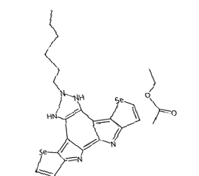 CCCCCCn1[nH]c2c([nH]1)c1c(nc3cc[se]c31)c1nc3cc[se]c3c12.CCOC(C)=O